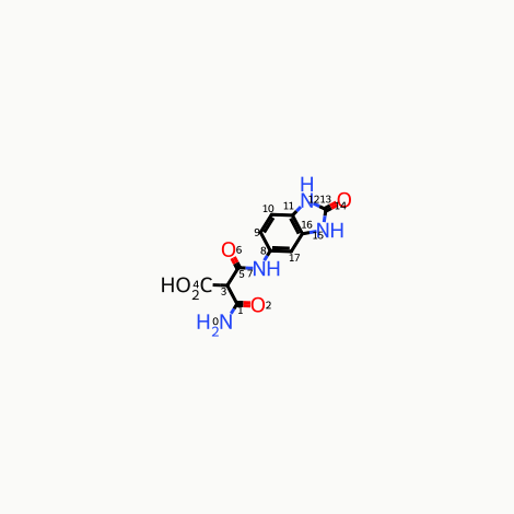 NC(=O)C(C(=O)O)C(=O)Nc1ccc2[nH]c(=O)[nH]c2c1